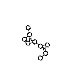 c1ccc(-c2cccc(-n3c4ccccc4c4cc(-c5ccc6c(c5)c5ccccc5n6-c5ccc(-c6ccccc6)cc5-c5ccccc5)ccc43)c2)cc1